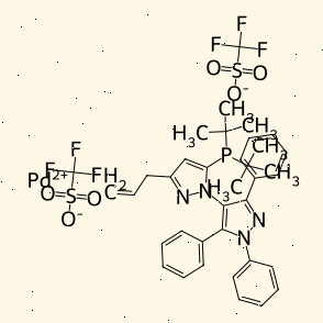 C=CCc1cc(P(C(C)(C)C)C(C)(C)C)n(-c2c(-c3ccccc3)nn(-c3ccccc3)c2-c2ccccc2)n1.O=S(=O)([O-])C(F)(F)F.O=S(=O)([O-])C(F)(F)F.[Pd+2]